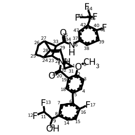 COc1ccc(-c2cc(C(O)C(F)F)ccc2F)cc1C(=O)NC1C2CCC(C2=CC2CC2)C1C(=O)Nc1ccc(F)c(C(F)(F)F)c1